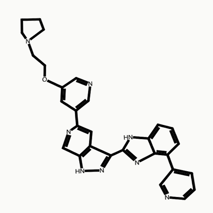 c1cncc(-c2cccc3[nH]c(-c4n[nH]c5cnc(-c6cncc(OCCN7CCCC7)c6)cc45)nc23)c1